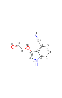 N#Cc1cccc2[nH]cc(OCC=O)c12